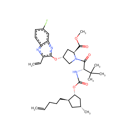 C=CCCC[C@@H]1C[C@@H](C)C[C@H]1OC(=O)N[C@H](C(=O)N1C[C@H](Oc2nc3cc(F)ccc3nc2C=C)C[C@H]1C(=O)OC)C(C)(C)C